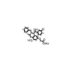 COC(=O)COc1ccc(CC(C)N(Cc2ccccc2)CC(O)c2cccc(Cl)c2)cc1.Cl